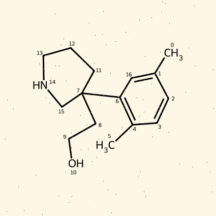 Cc1ccc(C)c(C2(CCO)CCCNC2)c1